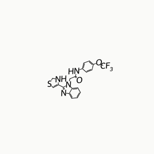 O=C(Cn1c(C2=CSCN2)nc2ccccc21)Nc1ccc(OC(F)(F)F)cc1